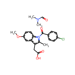 CN(C)C=O.COc1ccc2c(c1)c(CC(=O)O)c(C)n2C(=O)c1ccc(Cl)cc1